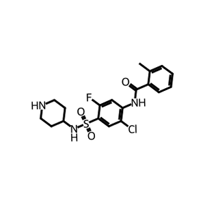 Cc1ccccc1C(=O)Nc1cc(F)c(S(=O)(=O)NC2CCNCC2)cc1Cl